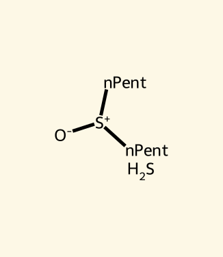 CCCCC[S+]([O-])CCCCC.S